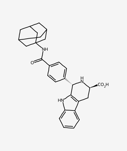 O=C(NC12CC3CC(CC(C3)C1)C2)c1ccc([C@@H]2N[C@@H](C(=O)O)Cc3c2[nH]c2ccccc32)cc1